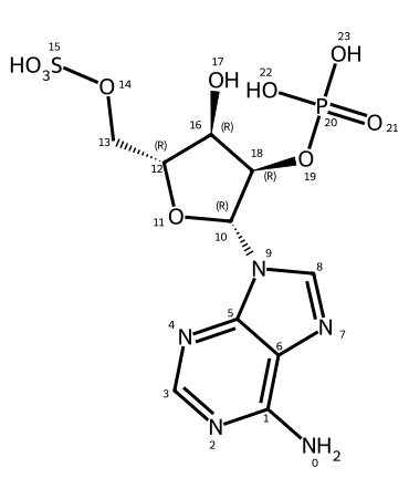 Nc1ncnc2c1ncn2[C@@H]1O[C@H](COS(=O)(=O)O)[C@@H](O)[C@H]1OP(=O)(O)O